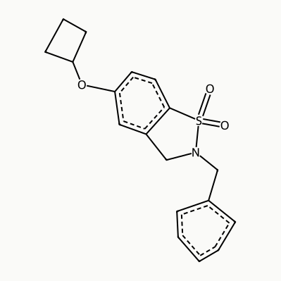 O=S1(=O)c2ccc(OC3CCC3)cc2CN1Cc1ccccc1